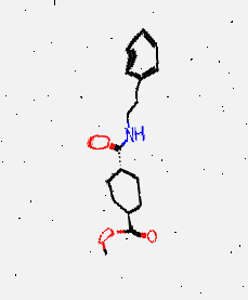 COC(=O)[C@H]1CC[C@H](C(=O)NCCc2ccccc2)CC1